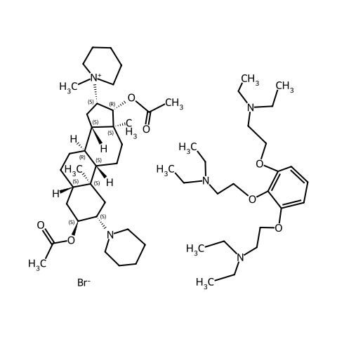 CC(=O)O[C@H]1C[C@@H]2CC[C@@H]3[C@H](CC[C@@]4(C)[C@H]3C[C@H]([N+]3(C)CCCCC3)[C@@H]4OC(C)=O)[C@@]2(C)C[C@@H]1N1CCCCC1.CCN(CC)CCOc1cccc(OCCN(CC)CC)c1OCCN(CC)CC.[Br-]